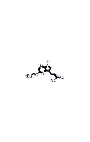 CC(=O)/C(C#N)=C/Cc1c[nH]c2ncc(OCC(C)(C)C)nc12